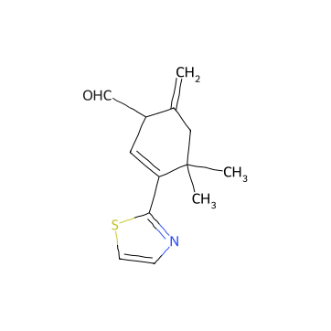 C=C1CC(C)(C)C(c2nccs2)=CC1C=O